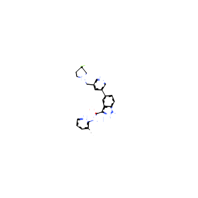 Cc1cccnc1NC(=O)c1n[nH]c2ccc(-c3cncc(CN4CCC(F)(F)C4)c3)cc12